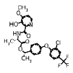 COc1ccnc(C(=O)N[C@@H](C)C(=O)O[C@@H](C)c2ccc(Oc3ccc(C(F)(F)F)cc3Cl)cc2)c1O